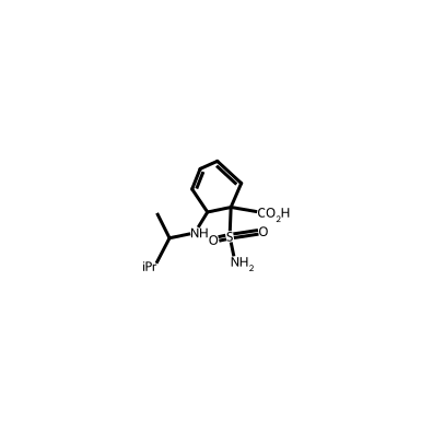 CC(C)C(C)NC1C=CC=CC1(C(=O)O)S(N)(=O)=O